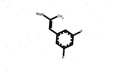 CNC(C)=Cc1cc(F)cc(F)c1